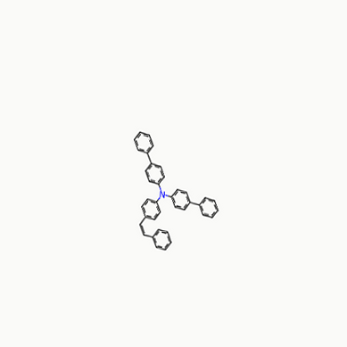 C(=C/c1ccc(N(c2ccc(-c3ccccc3)cc2)c2ccc(-c3ccccc3)cc2)cc1)/c1ccccc1